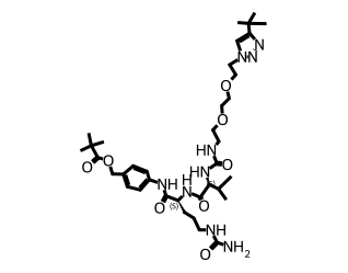 CC(C)[C@H](NC(=O)NCCOCCOCCn1cc(C(C)(C)C)nn1)C(=O)N[C@@H](CCCNC(N)=O)C(=O)Nc1ccc(COC(=O)C(C)(C)C)cc1